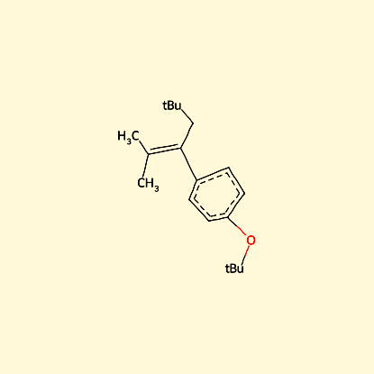 CC(C)=C(CC(C)(C)C)c1ccc(OC(C)(C)C)cc1